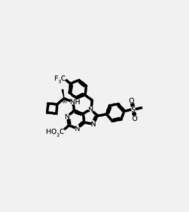 C[C@@H](Nc1nc(C(=O)O)nc2nc(-c3ccc(S(C)(=O)=O)cc3)n(Cc3ccc(C(F)(F)F)cc3)c12)C1CCC1